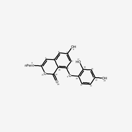 CCCCCc1cc2cc(O)cc(Oc3ccc(O)cc3O)c2c(=O)o1